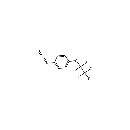 O=C=Nc1ccc(OC(F)(F)C(F)(F)Cl)cc1